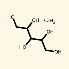 OCC(O)C(O)C(O)CO.[CaH2]